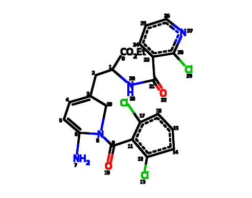 CCOC(=O)C(CC1=CC=C(N)N(C(=O)c2c(Cl)cccc2Cl)C1)NC(=O)c1cccnc1Cl